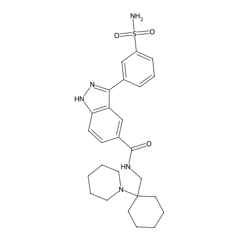 NS(=O)(=O)c1cccc(-c2n[nH]c3ccc(C(=O)NCC4(N5CCCCC5)CCCCC4)cc23)c1